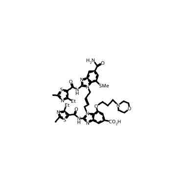 CCc1nc(C)sc1C(=O)Nc1nc2cc(C(=O)O)cc(OCCCN3CCOCC3)c2n1CC=CCn1c(NC(=O)c2sc(C)nc2CC)nc2cc(C(N)=O)cc(SC)c21